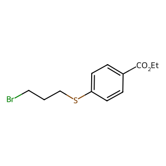 CCOC(=O)c1ccc(SCCCBr)cc1